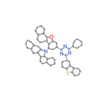 c1ccc(-c2nc(-c3cc(-n4c5cc6ccccc6cc5c5ccc6ccccc6c54)c4c(c3)oc3c5ccccc5ccc34)nc(-c3ccc4sc5ccccc5c4c3)n2)cc1